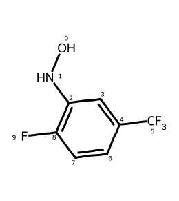 ONc1cc(C(F)(F)F)ccc1F